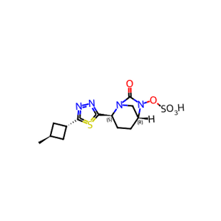 C[C@H]1C[C@H](c2nnc([C@@H]3CC[C@@H]4CN3C(=O)N4OS(=O)(=O)O)s2)C1